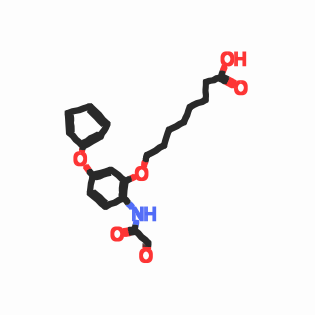 O=CC(=O)Nc1ccc(Oc2ccccc2)cc1OCCCCCCCC(=O)O